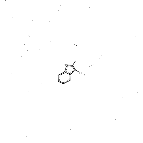 Cc1c(I)[nH]c2ccccc12